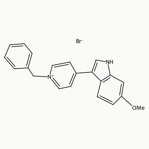 COc1ccc2c(-c3cc[n+](Cc4ccccc4)cc3)c[nH]c2c1.[Br-]